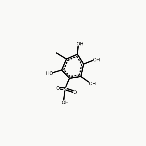 Cc1c(O)c(O)c(O)c(S(=O)(=O)O)c1O